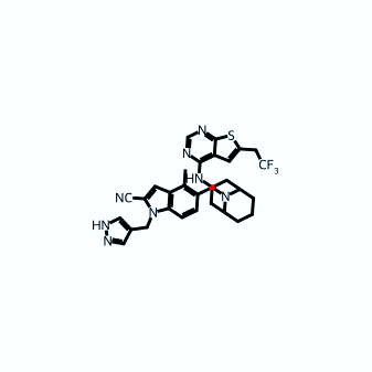 Cc1c(CN2C3CCCC2CC(Nc2ncnc4sc(CC(F)(F)F)cc24)C3)ccc2c1cc(C#N)n2Cc1cn[nH]c1